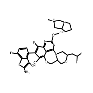 C[C@H]1CN2CCC[C@@]2(COc2nc3c4c(c(Cl)c(-c5ccc(F)c6sc(N)c(C#N)c56)c(F)c4n2)OCC2COC(CC(F)F)CN32)C1